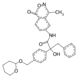 Cc1noc(=O)c2ccc(NC(=O)C(O)(Cc3ccccc3)c3ccc(COC4CCCCO4)cc3)cc12